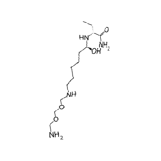 CC[C@@H](N[C@@H](O)CCCCCNCOCOCN)C(N)=O